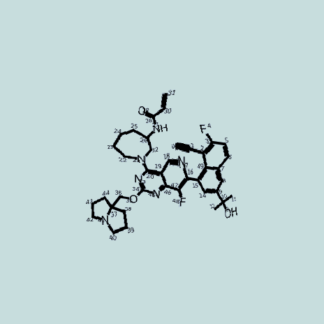 C#Cc1c(F)ccc2cc(C(C)(C)O)cc(-c3ncc4c(N5CCCCC(NC(=O)C=C)C5)nc(OCC56CCCN5CCC6)nc4c3F)c12